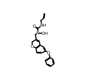 C=CCNC(=O)N(O)CC1=Cc2cc(Oc3ccccc3)ccc2OC1